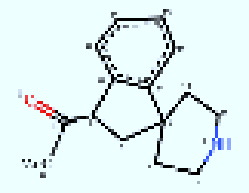 COC(=O)[C@@H]1CC2(CCNCC2)c2ccccc21